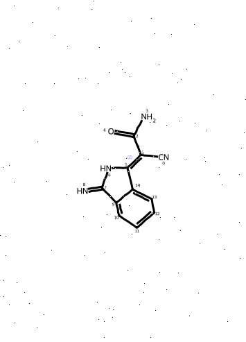 N#C/C(C(N)=O)=C1/NC(=N)c2ccccc21